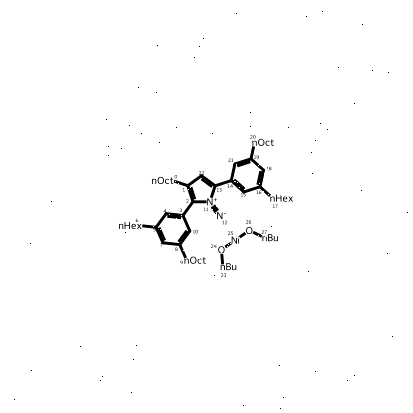 CCCCCCCCC1=C(c2cc(CCCCCC)cc(CCCCCCCC)c2)[N+](=[N-])C(c2cc(CCCCCC)cc(CCCCCCCC)c2)=C1.CCCC[O][Ni][O]CCCC